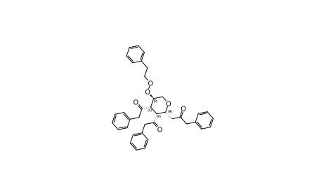 O=C(Cc1ccccc1)C[C@H]1OC[C@H](OOCCc2ccccc2)[C@@H](C(=O)Cc2ccccc2)[C@H]1C(=O)Cc1ccccc1